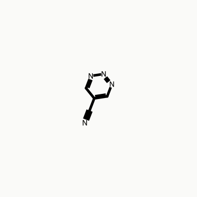 N#Cc1cnnnc1